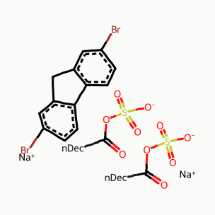 Brc1ccc2c(c1)Cc1cc(Br)ccc1-2.CCCCCCCCCCC(=O)OS(=O)(=O)[O-].CCCCCCCCCCC(=O)OS(=O)(=O)[O-].[Na+].[Na+]